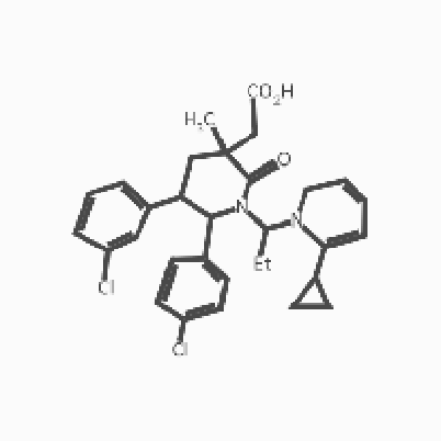 CCC(N1CC=CC=C1C1CC1)N1C(=O)C(C)(CC(=O)O)CC(c2cccc(Cl)c2)C1c1ccc(Cl)cc1